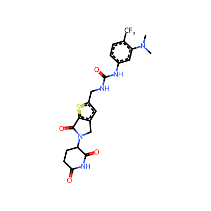 CN(C)c1cc(NC(=O)NCc2cc3c(s2)C(=O)N(C2CCC(=O)NC2=O)C3)ccc1C(F)(F)F